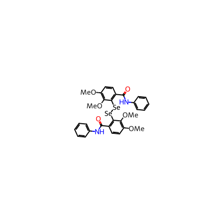 COc1ccc(C(=O)Nc2ccccc2)c([Se][Se]c2c(C(=O)Nc3ccccc3)ccc(OC)c2OC)c1OC